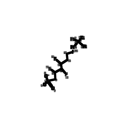 CC[N+](CC)(CC)CC.O=S(=O)([O-])CC(F)C(F)C(F)CCF